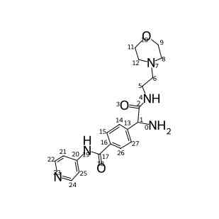 NC(C(=O)NCCN1CCOCC1)c1ccc(C(=O)Nc2ccncc2)cc1